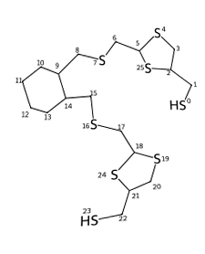 SCC1CSC(CSCC2CCCCC2CSCC2SCC(CS)S2)S1